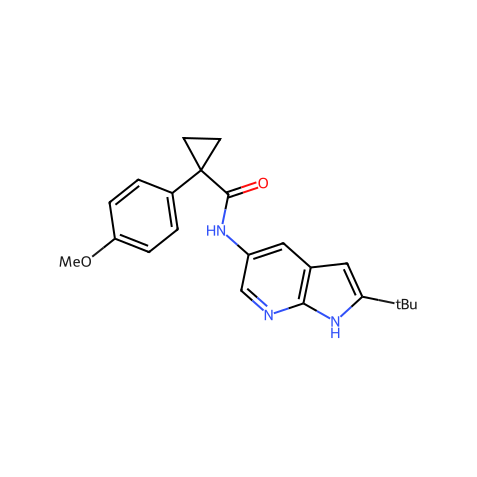 COc1ccc(C2(C(=O)Nc3cnc4[nH]c(C(C)(C)C)cc4c3)CC2)cc1